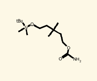 CC(C)(CCOC(N)=O)CCO[Si](C)(C)C(C)(C)C